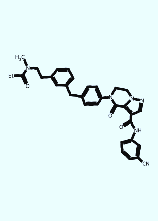 CCC(=O)N(C)CCc1cccc(Cc2ccc(N3CCn4ncc(C(=O)Nc5cccc(C#N)c5)c4C3=O)cc2)c1